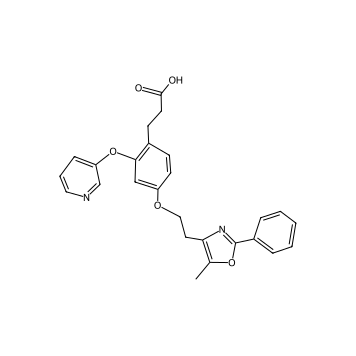 Cc1oc(-c2ccccc2)nc1CCOc1ccc(CCC(=O)O)c(Oc2cccnc2)c1